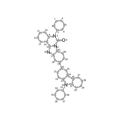 O=c1n(-c2ccccc2)c2ccccc2c2nc3cc(-c4ccc5c(c4)c4ccccc4n5-c4ccccc4)ccc3n12